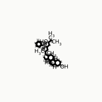 CC(C)[C@H](O)CC(C[C@@H](C)[C@H]1CCC2[C@@H]3CC[C@H]4C[C@@H](O)CC[C@]4(C)[C@H]3CC[C@@]21C)S(=O)(=O)c1ccccc1